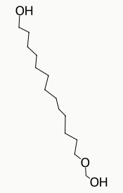 OCCCCCCCCCCCCCOCO